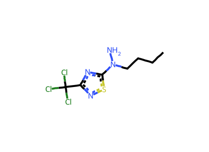 CCCCN(N)c1nc(C(Cl)(Cl)Cl)ns1